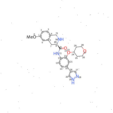 COc1ccc2c(c1)C[C@H](C(=O)Nc1ccc(-c3cn[nH]c3)cc1OC1CCOCC1)NC2